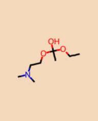 CCOC(C)(O)OCCN(C)C